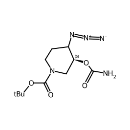 CC(C)(C)OC(=O)N1CCC(N=[N+]=[N-])[C@@H](OC(N)=O)C1